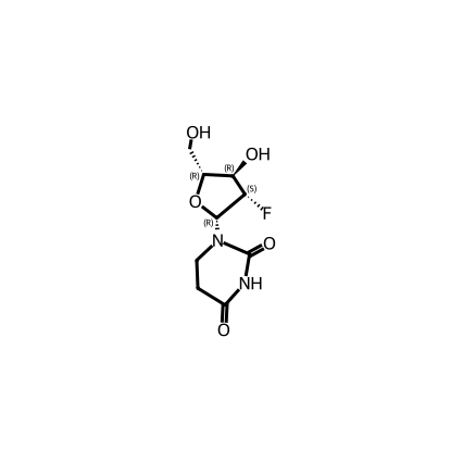 O=C1CCN([C@@H]2O[C@H](CO)[C@@H](O)[C@@H]2F)C(=O)N1